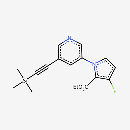 CCOC(=O)c1c(F)ccn1-c1cncc(C#C[Si](C)(C)C)c1